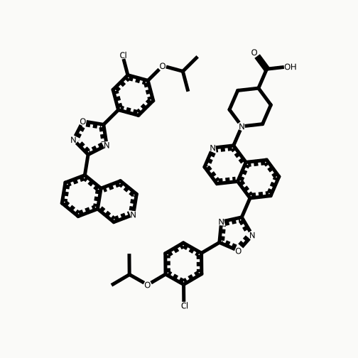 CC(C)Oc1ccc(-c2nc(-c3cccc4c(N5CCC(C(=O)O)CC5)nccc34)no2)cc1Cl.CC(C)Oc1ccc(-c2nc(-c3cccc4cnccc34)no2)cc1Cl